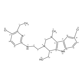 CCc1nc(NCCN2CC(C)c3c([nH]c4ccc(Cl)cc34)C2CO)ccc1Cl